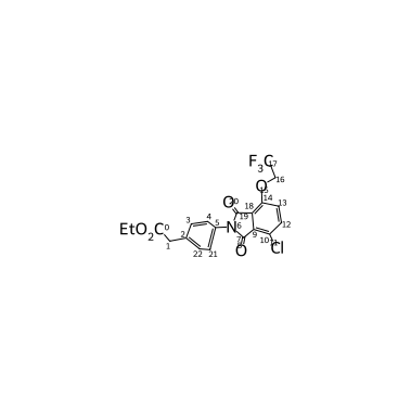 CCOC(=O)Cc1ccc(N2C(=O)c3c(Cl)ccc(OCC(F)(F)F)c3C2=O)cc1